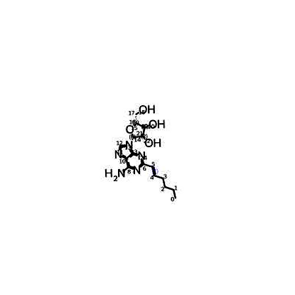 CCCC/C=C/c1nc(N)c2ncn([C@@H]3O[C@H](CO)[C@@H](O)[C@H]3O)c2n1